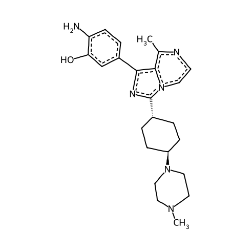 Cc1nccn2c1c(-c1ccc(N)c(O)c1)nc2[C@H]1CC[C@H](N2CCN(C)CC2)CC1